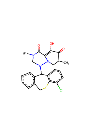 CC1CN2C(=C(O)C1=O)C(=O)N(C(C)C)CN2C1c2ccccc2CSc2c(Cl)cccc21